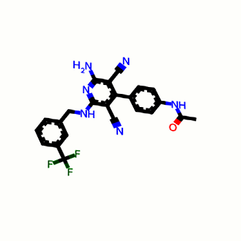 CC(=O)Nc1ccc(-c2c(C#N)c(N)nc(NCc3cccc(C(F)(F)F)c3)c2C#N)cc1